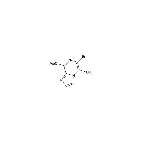 COc1nc(Br)c(C)n2ccnc12